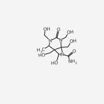 CC1N(CO)C(=O)N(CO)C(CO)(NC(N)=O)C1(CO)CO